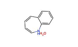 C1=CNc2ccccc2C=C1.O